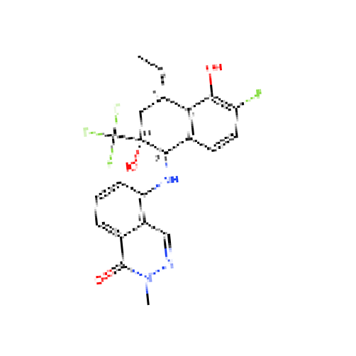 CC[C@H]1C[C@](O)(C(F)(F)F)[C@@H](Nc2cccc3c(=O)n(C)ncc23)c2ccc(F)c(O)c21